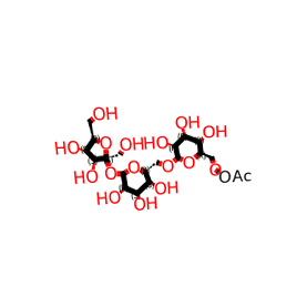 CC(=O)OOC[C@H]1OC(OC[C@H]2OC(O[C@]3(CO)O[C@H](CO)[C@@H](O)[C@@H]3O)[C@H](O)[C@@H](O)[C@@H]2O)[C@H](O)[C@@H](O)[C@H]1O